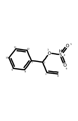 C=CC(O[SH](=O)=O)c1ccccc1